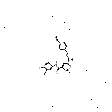 N#Cc1ccc(CSNc2cc(C(=O)Nc3ccc(F)c(F)c3)ccn2)cc1